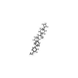 CC(=O)c1ccc(-c2ncc3c(n2)CCN(CC(=O)N2CCN(C4CCC4)CC2)C3)cc1